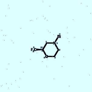 CCN1CCO[C@@H](C(F)(F)F)C1